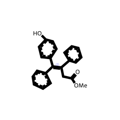 COC(=O)C/C(=C(\c1ccccc1)c1ccc(O)cc1)c1ccccc1